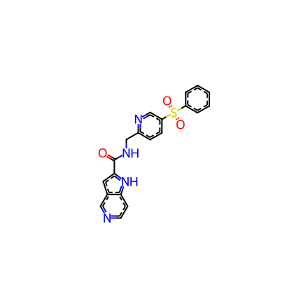 O=C(NCc1ccc(S(=O)(=O)c2ccccc2)cn1)c1cc2cnccc2[nH]1